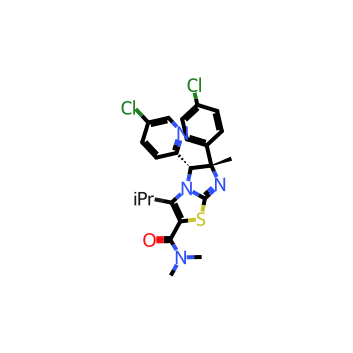 CC(C)C1=C(C(=O)N(C)C)SC2=N[C@@](C)(c3ccc(Cl)cc3)[C@@H](c3ccc(Cl)cn3)N21